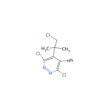 CCCc1c(Cl)nnc(Cl)c1C(C)(C)CCl